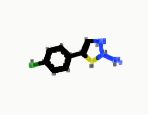 NN1NC=C(c2ccc(Cl)cc2)S1